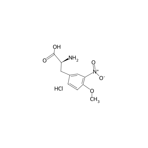 COc1ccc(C[C@H](N)C(=O)O)cc1[N+](=O)[O-].Cl